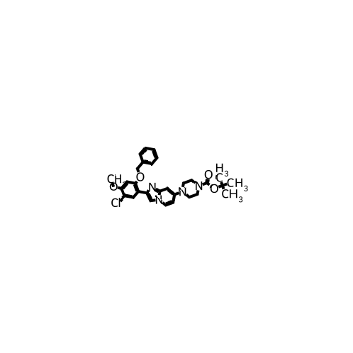 COc1cc(OCc2ccccc2)c(-c2cn3ccc(N4CCN(C(=O)OC(C)(C)C)CC4)cc3n2)cc1Cl